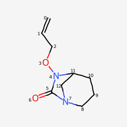 C=CCON1C(=O)N2CCCC1C2